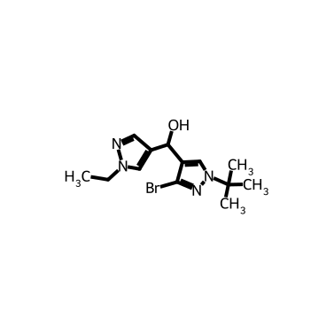 CCn1cc(C(O)c2cn(C(C)(C)C)nc2Br)cn1